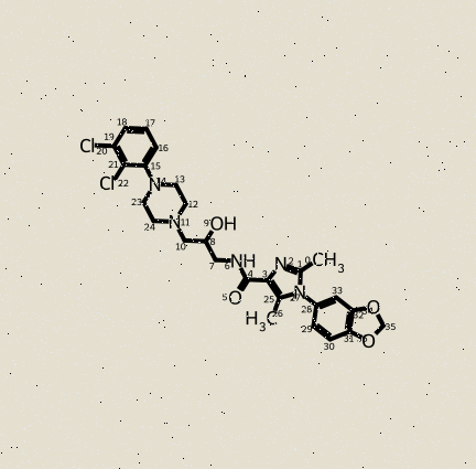 Cc1nc(C(=O)NCC(O)CN2CCN(c3cccc(Cl)c3Cl)CC2)c(C)n1-c1ccc2c(c1)OCO2